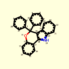 c1ccc(C2(c3ccccc3)Oc3ccccc3-c3[nH]c4ccccc4c32)cc1